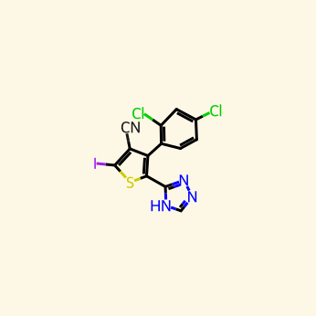 N#Cc1c(I)sc(-c2nnc[nH]2)c1-c1ccc(Cl)cc1Cl